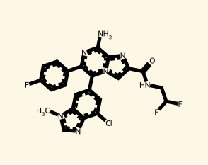 Cn1cnc2c(Cl)cc(-c3c(-c4ccc(F)cc4)nc(N)c4nc(C(=O)NCC(F)F)cn34)cc21